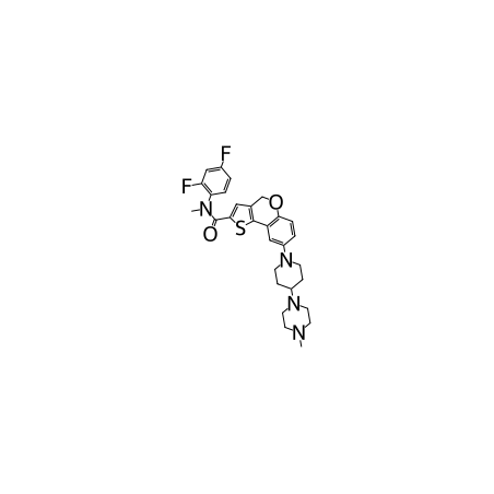 CN1CCN(C2CCN(c3ccc4c(c3)-c3sc(C(=O)N(C)c5ccc(F)cc5F)cc3CO4)CC2)CC1